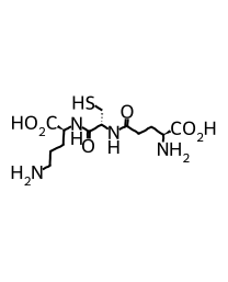 NCCC[C@H](NC(=O)[C@H](CS)NC(=O)CC[C@H](N)C(=O)O)C(=O)O